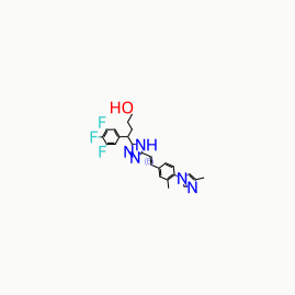 Cc1cn(-c2ccc(/C=C/c3nnc(C(CCCO)c4cc(F)c(F)c(F)c4)[nH]3)cc2C)cn1